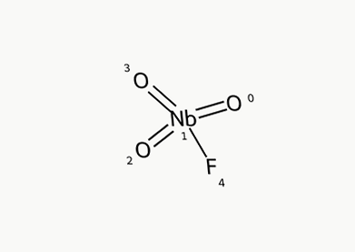 [O]=[Nb](=[O])(=[O])[F]